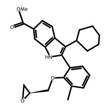 COC(=O)c1ccc2c(C3CCCCC3)c(-c3cccc(C)c3OC[C@@H]3CO3)[nH]c2c1